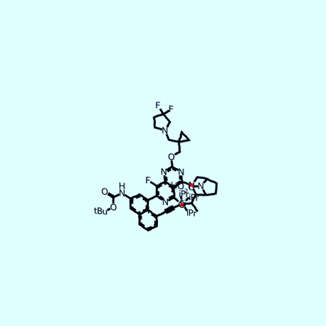 CC1Oc2nc(-c3cc(NC(=O)OC(C)(C)C)cc4cccc(C#C[Si](C(C)C)(C(C)C)C(C)C)c34)c(F)c3nc(OCC4(CN5CCC(F)(F)C5)CC4)nc(c23)N2CC3CCC(C12)N3C(=O)O